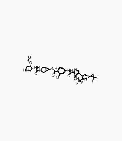 Cn1c(-c2cn(C3CC3(F)F)nc2C(F)(F)F)cnc1C(=O)Nc1ccc(C(=O)NC2C3CN(C(=O)N[C@H]4CNC[C@@H]4OC=O)CC32)c(Cl)c1